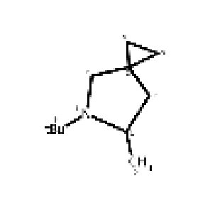 CC1CC2(CC2)CN1C(C)(C)C